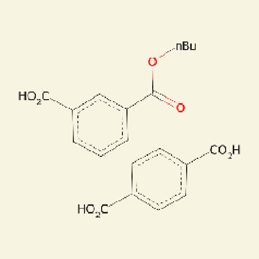 CCCCOC(=O)c1cccc(C(=O)O)c1.O=C(O)c1ccc(C(=O)O)cc1